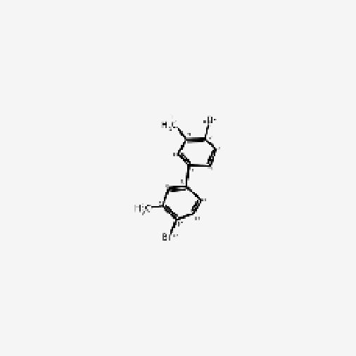 Cc1cc(-c2ccc(Br)c(C)c2)ccc1Br